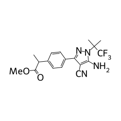 COC(=O)C(C)c1ccc(-c2nn(C(C)(C)C(F)(F)F)c(N)c2C#N)cc1